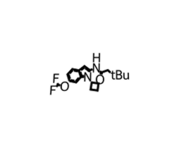 CC(C)(C)CC(=O)Nc1cc2ccc(OC(F)F)cc2n1C1CCC1